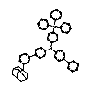 c1ccc(-c2ccc(N(c3ccc(-c4cccc(C56CC7CC(CC(C7)C5)C6)c4)cc3)c3ccc([Si](c4ccccc4)(c4ccccc4)c4ccccc4)cc3)cc2)cc1